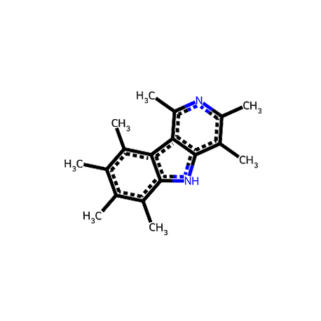 Cc1nc(C)c2c([nH]c3c(C)c(C)c(C)c(C)c32)c1C